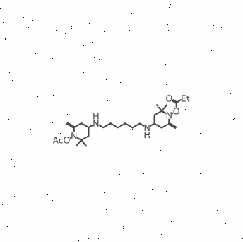 C=C1CC(NCCCCCCNC2CC(=C)N(OC(=O)CC)C(C)(C)C2)CC(C)(C)N1OC(C)=O